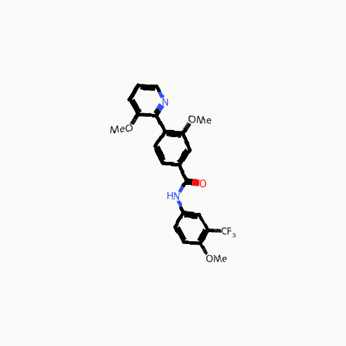 COc1cc(C(=O)Nc2ccc(OC)c(C(F)(F)F)c2)ccc1-c1ncccc1OC